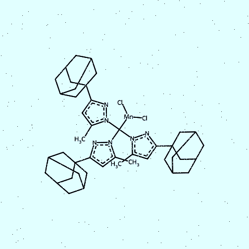 Cc1cc(C23CC4CC(CC(C4)C2)C3)nn1[C](n1nc(C23CC4CC(CC(C4)C2)C3)cc1C)(n1nc(C23CC4CC(CC(C4)C2)C3)cc1C)[Mn]([Cl])[Cl]